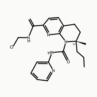 C=C(NCCl)c1ccc2c(n1)N(C(=O)Nc1ccccn1)[C@@](C)(CCC)CC2